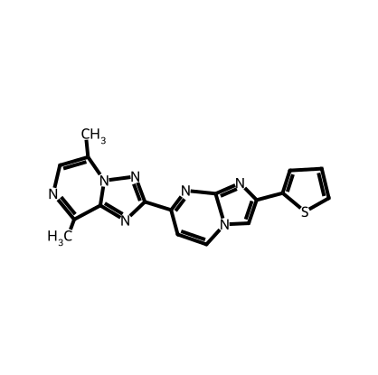 Cc1ncc(C)n2nc(-c3ccn4cc(-c5cccs5)nc4n3)nc12